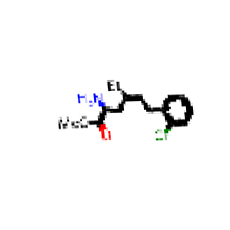 CCC(CCc1ccccc1Cl)CC(N)C(=O)OC